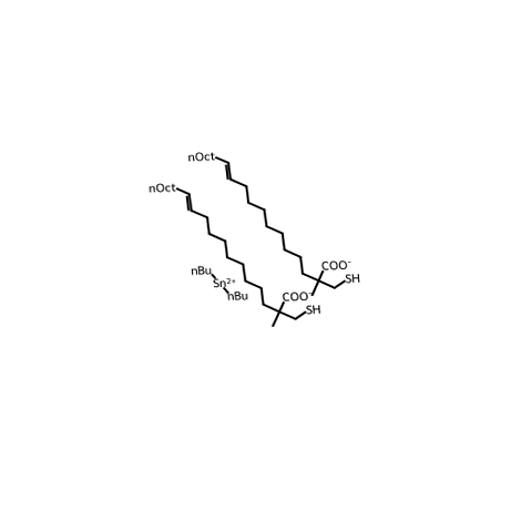 CCCCCCCCC=CCCCCCCCCC(C)(CS)C(=O)[O-].CCCCCCCCC=CCCCCCCCCC(C)(CS)C(=O)[O-].CCC[CH2][Sn+2][CH2]CCC